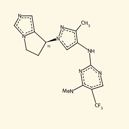 CNc1nc(Nc2cn([C@H]3CCn4cncc43)nc2C)ncc1C(F)(F)F